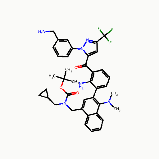 CN(C)c1c(-c2cccc(C(=O)c3cc(C(F)(F)F)nn3-c3cccc(CN)c3)c2N)cc(CN(CC2CC2)C(=O)OC(C)(C)C)c2ccccc12